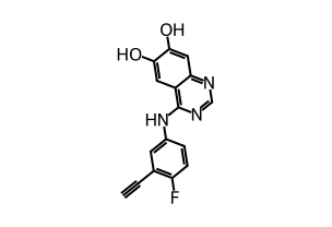 C#Cc1cc(Nc2ncnc3cc(O)c(O)cc23)ccc1F